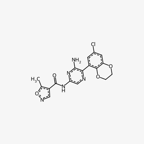 Cc1oncc1C(=O)Nc1cnc(-c2cc(Cl)cc3c2OCCO3)c(N)n1